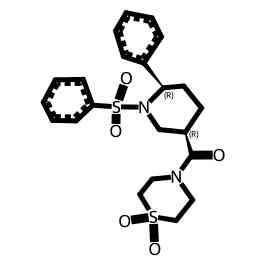 O=C([C@@H]1CC[C@H](c2ccccc2)N(S(=O)(=O)c2ccccc2)C1)N1CCS(=O)(=O)CC1